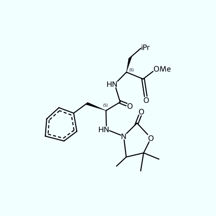 COC(=O)[C@H](CC(C)C)NC(=O)[C@H](Cc1ccccc1)NN1C(=O)OC(C)(C)C1C